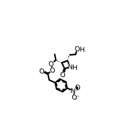 CC(OOC(=O)Cc1ccc([N+](=O)[O-])cc1)[C@H]1C(=O)N[C@H]1CCO